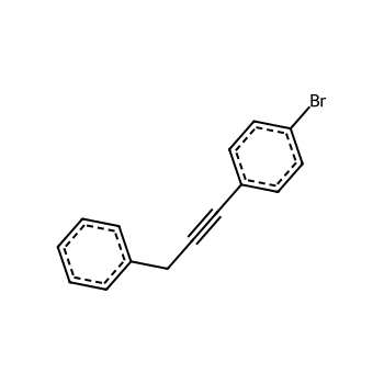 Brc1ccc(C#CCc2ccccc2)cc1